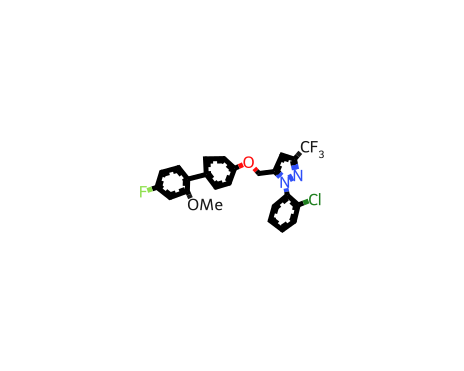 COc1cc(F)ccc1-c1ccc(OCc2cc(C(F)(F)F)nn2-c2ccccc2Cl)cc1